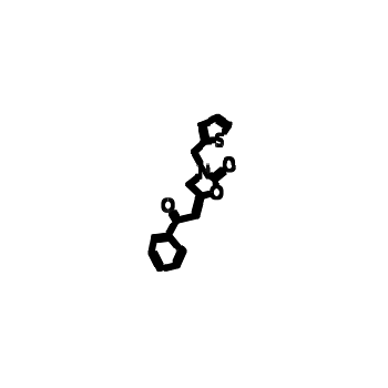 O=C(C=C1CN(Cc2cccs2)C(=O)O1)c1ccccc1